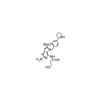 CCC[C@@H](CCO)Nc1nc(N)nc2cnn(Cc3ccc(C4CCCN4)cc3OC)c12